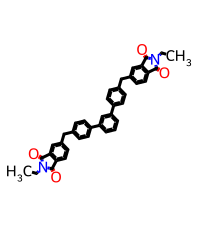 CCN1C(=O)c2ccc(Cc3ccc(-c4cccc(-c5ccc(Cc6ccc7c(c6)C(=O)N(CC)C7=O)cc5)c4)cc3)cc2C1=O